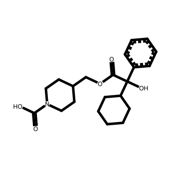 O=C(O)N1CCC(COC(=O)C(O)(c2ccccc2)C2CCCCC2)CC1